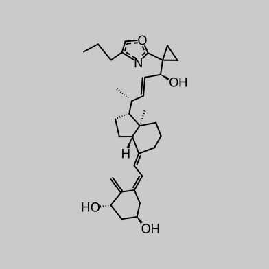 C=C1/C(=C\C=C2/CCC[C@]3(C)[C@@H]([C@H](C)/C=C/[C@H](O)C4(c5nc(CCC)co5)CC4)CC[C@@H]23)C[C@@H](O)C[C@@H]1O